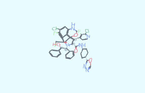 O=C(N[C@H]1CC[C@H](c2nnco2)CC1)[C@H]1[C@H](c2ccnc(Cl)c2F)C2(OCNc3cc(Cl)ccc32)C2(CC(CF)(CF)C2)N1[C@H](c1ccccc1)[C@@H](O)c1ccccc1